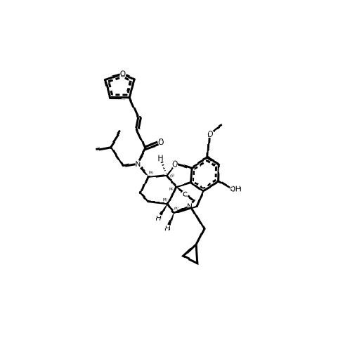 COc1cc(O)c2c3c1O[C@@H]1[C@H](N(CC(C)C)C(=O)C=Cc4ccoc4)CC[C@H]4[C@@H](C2)N(CC2CC2)CC[C@]314